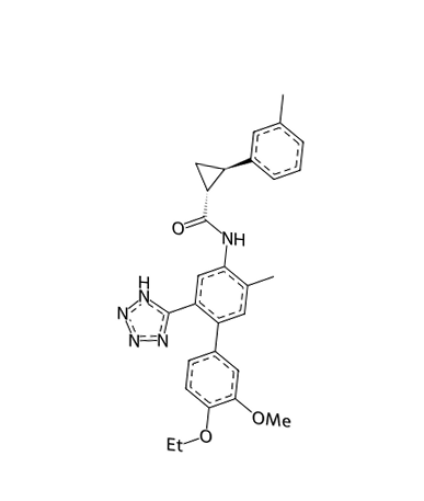 CCOc1ccc(-c2cc(C)c(NC(=O)[C@@H]3C[C@H]3c3cccc(C)c3)cc2-c2nnn[nH]2)cc1OC